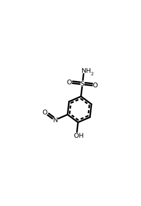 NS(=O)(=O)c1ccc(O)c(N=O)c1